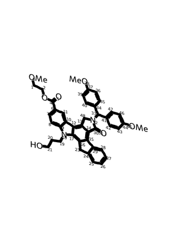 COCCOC(=O)c1ccc2c(c1)c1c3c(c4c(c1n2CCCO)Cc1ccccc1-4)C(=O)N(C(c1ccc(OC)cc1)c1ccc(OC)cc1)C3